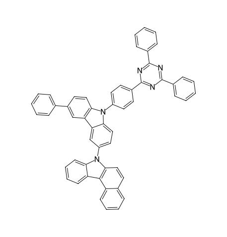 c1ccc(-c2ccc3c(c2)c2cc(-n4c5ccccc5c5c6ccccc6ccc54)ccc2n3-c2ccc(-c3nc(-c4ccccc4)nc(-c4ccccc4)n3)cc2)cc1